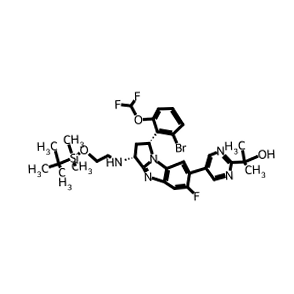 CC(C)(O)c1ncc(-c2cc3c(cc2F)nc2n3[C@@H](c3c(Br)cccc3OC(F)F)C[C@H]2NCCO[Si](C)(C)C(C)(C)C)cn1